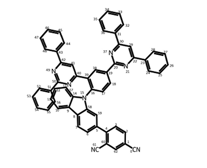 N#Cc1ccc(-c2ccc3c4ccccc4n(-c4ccc(-c5nc(-c6ccccc6)cc(-c6ccccc6)n5)cc4-c4cc(-c5ccccc5)nc(-c5ccccc5)n4)c3c2)c(C#N)c1